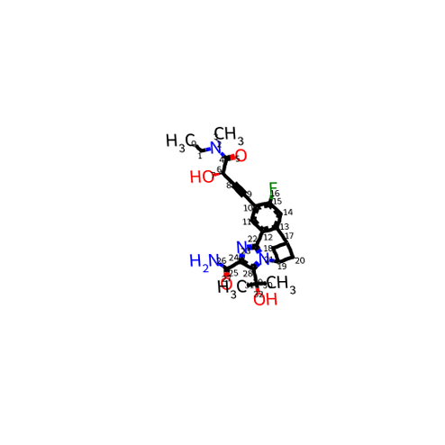 CCN(C)C(=O)[C@H](O)C#Cc1cc2c(cc1F)C1CC(C1)n1c-2nc(C(N)=O)c1C(C)(C)O